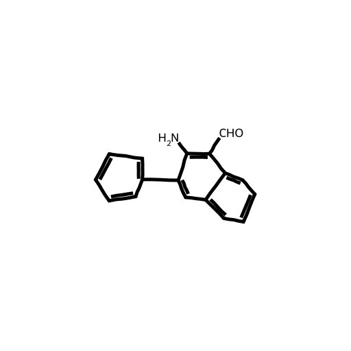 Nc1c(-c2ccccc2)cc2ccccc2c1C=O